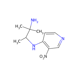 CC(Nc1ccncc1[N+](=O)[O-])C(C)(C)N